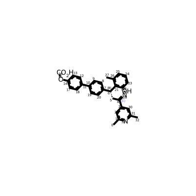 Cc1cc(/C(C[C@H](c2ccc(-c3ccc(OC(=O)O)cc3)cc2)c2ccccc2C)=N/O)cc(C)n1